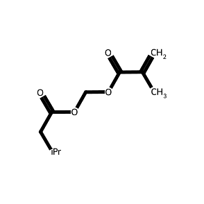 C=C(C)C(=O)OCOC(=O)CC(C)C